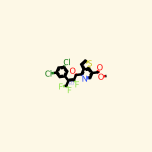 COC(=O)c1cnc(C(=O)/C(F)=C(\c2cc(Cl)cc(Cl)c2)C(F)F)c2ccsc12